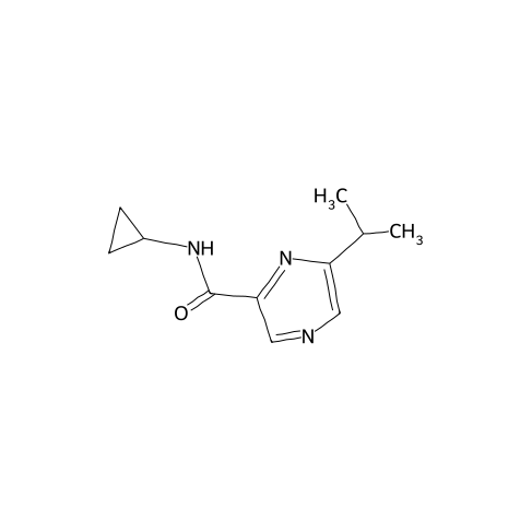 CC(C)c1cncc(C(=O)NC2CC2)n1